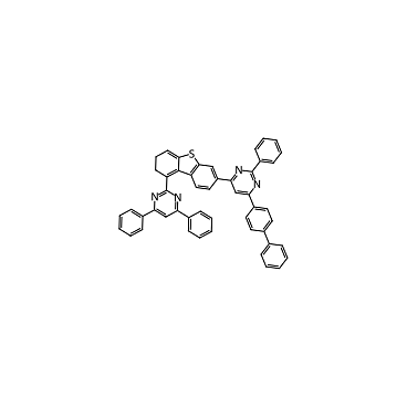 C1=c2sc3cc(-c4cc(-c5ccc(-c6ccccc6)cc5)nc(-c5ccccc5)n4)ccc3c2=C(c2nc(-c3ccccc3)cc(-c3ccccc3)n2)CC1